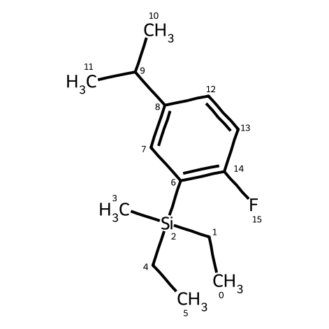 CC[Si](C)(CC)c1cc(C(C)C)ccc1F